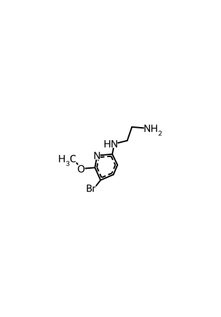 COc1nc(NCCN)ccc1Br